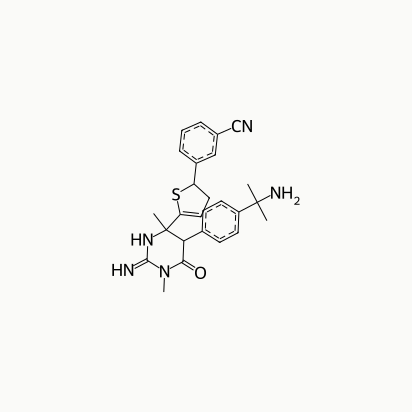 CN1C(=N)NC(C)(C2=CCC(c3cccc(C#N)c3)S2)C(c2ccc(C(C)(C)N)cc2)C1=O